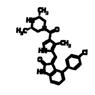 Cc1c(C(=O)N2C[C@@H](C)N[C@@H](C)C2)c[nH]c1/C=C1\C(=O)Nc2cccc(-c3ccc(Cl)cc3)c21